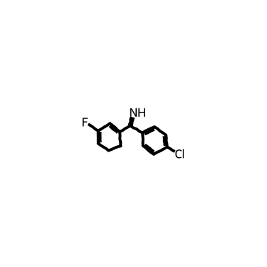 N=C(C1=CC(F)=CCC1)c1ccc(Cl)cc1